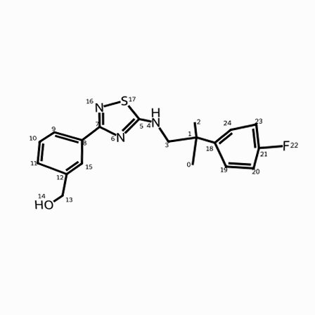 CC(C)(CNc1nc(-c2cccc(CO)c2)ns1)c1ccc(F)cc1